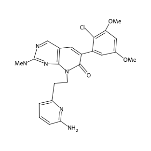 CNc1ncc2cc(-c3cc(OC)cc(OC)c3Cl)c(=O)n(CCc3cccc(N)n3)c2n1